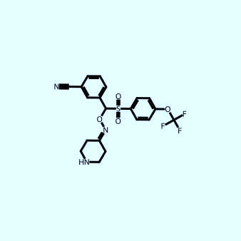 N#Cc1cccc(C(ON=C2CCNCC2)S(=O)(=O)c2ccc(OC(F)(F)F)cc2)c1